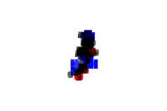 CNC(=O)C12CC(Nc3nc(OC)c4c(-c5ccc6nnn(C)c6c5)ccn4n3)(C1)C2